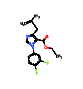 C=C(C)Cc1ncn(-c2ccc(F)c(F)c2)c1C(=O)OCC